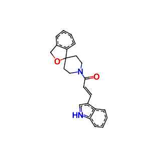 O=C(/C=C/c1c[nH]c2ccccc12)N1CCC2(CC1)OCc1ccccc12